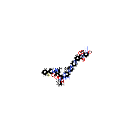 [2H]C([2H])([2H])Oc1ncc(-c2ccnc(N3CCc4c(sc5c4CCCC5)C3=O)c2CO)cc1Nc1ccc(N2CCN(C3CCN(c4ccc5c(c4)C(=O)N(C4CCC(=O)NC4=O)C5=O)CC3)C[C@@H]2C)cn1